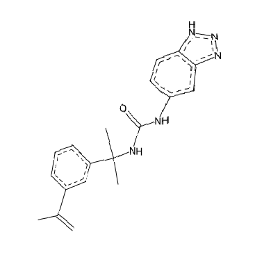 C=C(C)c1cccc(C(C)(C)NC(=O)Nc2ccc3[nH]nnc3c2)c1